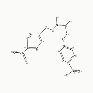 CC(COc1ccc([N+](=O)[O-])cc1)N(C)CCc1ccc([N+](=O)[O-])cc1